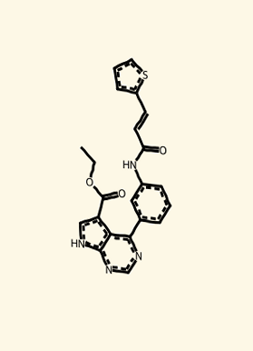 CCOC(=O)c1c[nH]c2ncnc(-c3cccc(NC(=O)C=Cc4cccs4)c3)c12